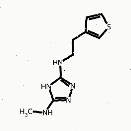 CNc1nnc(NCCc2ccsc2)[nH]1